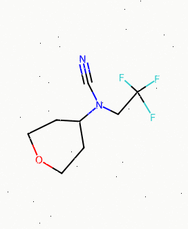 N#CN(CC(F)(F)F)C1CCOCC1